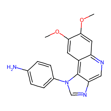 COc1cc2ncc3ncn(-c4ccc(N)cc4)c3c2cc1OC